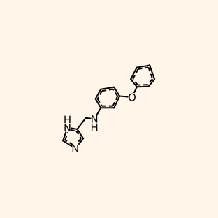 c1ccc(Oc2cccc(NCc3cnc[nH]3)c2)cc1